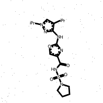 CC(C)c1cn(C(C)C)nc1Nc1nc(C(=O)NS(=O)(=O)N2CCCC2)co1